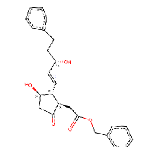 O=C(C[C@H]1C(=O)C[C@@H](O)[C@@H]1/C=C/[C@@H](O)CCc1ccccc1)OCc1ccccc1